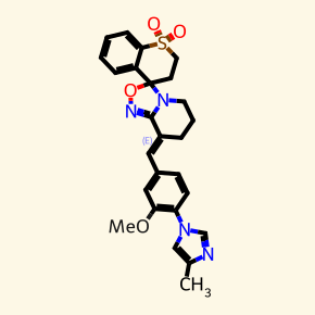 COc1cc(/C=C2\CCCN3C2=NOC32CCS(=O)(=O)c3ccccc32)ccc1-n1cnc(C)c1